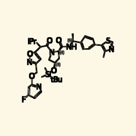 Cc1ncsc1-c1ccc([C@H](C)NC(=O)[C@H]2C[C@@H](O[Si](C)(C)C(C)(C)C)CN2C(=O)C(c2cc(COc3cc(F)ccn3)no2)C(C)C)cc1